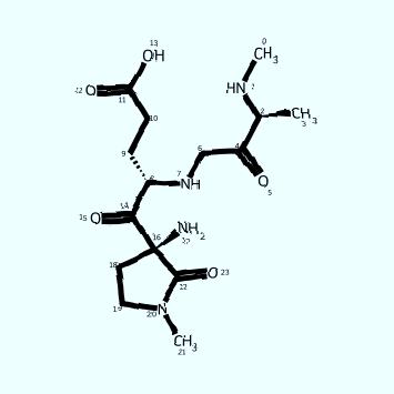 CN[C@@H](C)C(=O)CN[C@@H](CCC(=O)O)C(=O)[C@@]1(N)CCN(C)C1=O